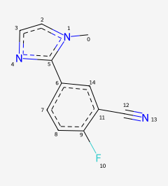 Cn1ccnc1-c1ccc(F)c(C#N)c1